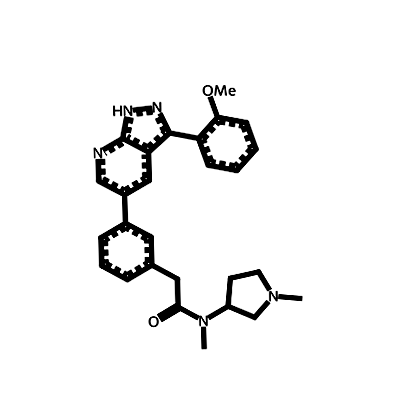 COc1ccccc1-c1n[nH]c2ncc(-c3cccc(CC(=O)N(C)C4CCN(C)C4)c3)cc12